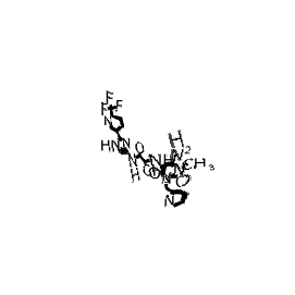 C[C@H](Nc1c(N)n(C)c(=O)n(Cc2ccccn2)c1=O)C(=O)Nc1c[nH]c(-c2ccc(C(F)(F)F)nc2)n1